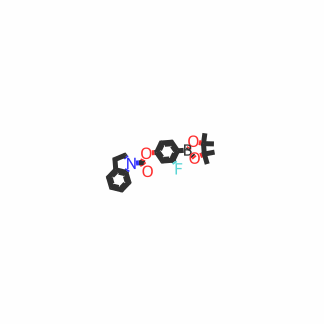 CC1(C)OB(c2ccc(OC(=O)N3CCc4ccccc43)cc2F)OC1(C)C